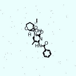 CC[C@@]12CCO[C@@H](C1O)[C@H](n1cc(C)c(NC(=O)c3ccccc3)nc1=O)O2